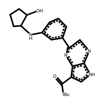 CC(C)(C)C(=O)c1c[nH]c2ncc(-c3cccc(NC4CCCC4O)c3)nc12